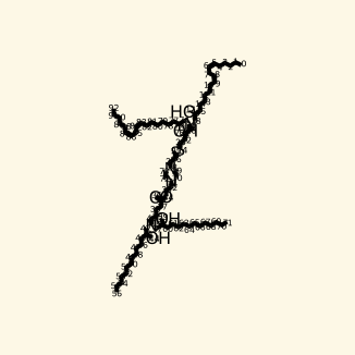 CCCCC/C=C\C/C=C\CCCCCC[C@H](O)CN(CCCCSSCCN1CCN(CCOC(=O)CCCCN(CC(O)CCCCCCCCCCCC)CC(O)CCCCCCCCCCCC)CC1)C[C@@H](O)CCCCCC/C=C\C/C=C\CCCCC